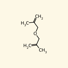 C=C(C)COCC(=C)C